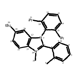 Cc1ccccc1-c1n(-c2c(C(C)C)cccc2C(C)C)c2cc(C(C)(C)C)ccc2[n+]1C